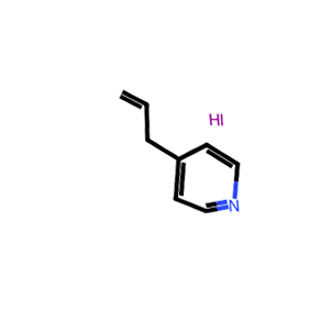 C=CCc1ccncc1.I